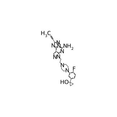 CC#Cc1nc2c3cnn(CCN4CCN(c5cc(C6(O)CC6)ccc5F)CC4)c3nc(N)n2n1